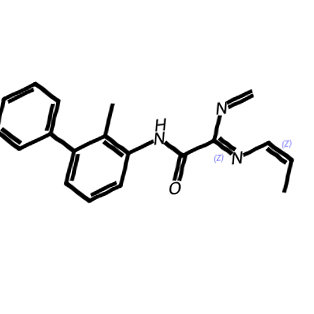 C=N/C(=N\C=C/C)C(=O)Nc1cccc(-c2ccccc2)c1C